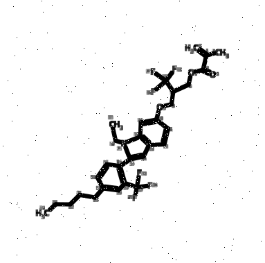 C=C(C)C(=O)OCC(COc1ccc2cc(-c3ccc(CCCCC)cc3C(F)(F)F)n(CC)c2c1)C(F)(F)F